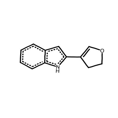 C1=C(c2cc3ccccc3[nH]2)CCO1